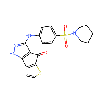 O=C1c2sccc2-c2[nH]nc(Nc3ccc(S(=O)(=O)N4CCCCC4)cc3)c21